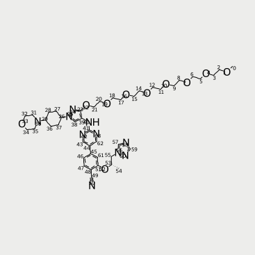 COCCOCCOCCOCCOCCOCCOCCOc1nn(C2CCC(N3CCOCC3)CC2)cc1Nc1ncc(-c2ccc(C#N)c(O[C@@H](C)Cn3cncn3)c2)cn1